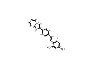 Cc1cc(O)cc(O)c1C=Nc1ccc(-c2cn3ccccc3n2)cc1